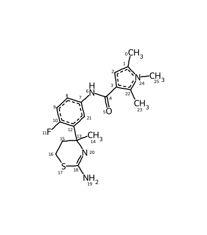 Cc1cc(C(=O)Nc2ccc(F)c(C3(C)CCSC(N)=N3)c2)c(C)n1C